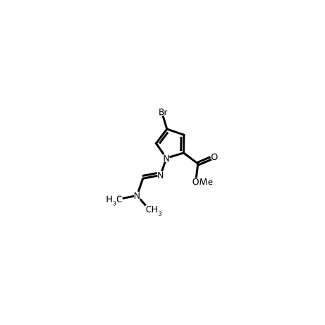 COC(=O)c1cc(Br)cn1/N=C/N(C)C